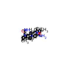 Cc1ccc2c(c1)C(C)(C)C(/C=C/C1=C(N(c3ccccc3)c3ccccc3)C(=C/C=C3/N(CCC(N)=O)c4ccc(C)cc4C3(C)C)/CC1)=[N+]2CCC(N)=O